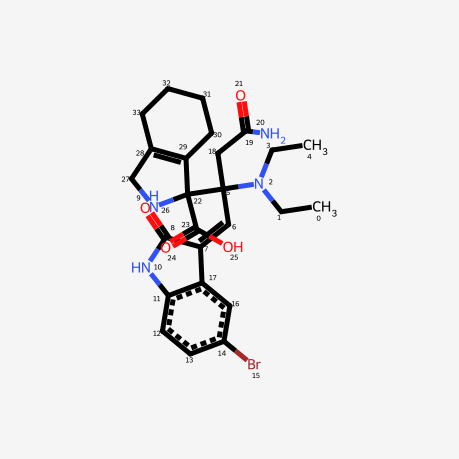 CCN(CC)C(C=C1C(=O)Nc2ccc(Br)cc21)(CC(N)=O)C1(C(=O)O)NCC2=C1CCCC2